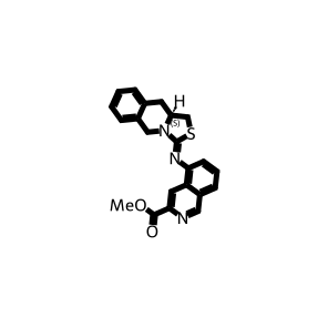 COC(=O)c1cc2c(N=C3SC[C@@H]4Cc5ccccc5CN34)cccc2cn1